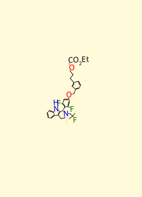 CCOC(=O)COCCCc1cccc(COc2cc(F)c([C@@H]3c4[nH]c5ccccc5c4C[C@@H](C)N3CC(C)(C)F)c(F)c2)c1